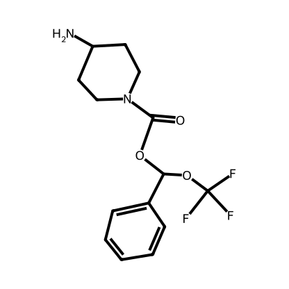 NC1CCN(C(=O)OC(OC(F)(F)F)c2ccccc2)CC1